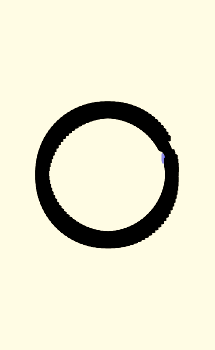 C/C1=C\CCCCCCCCCCCCCCCCCCCCCCCCCCCCCCCCCCCCCCCCCCCCCCCCCCCCCCCCCCCCCCCCCCCCCCCCCCCCCCCCCCCCCCCCCCCCCCCCC=C1